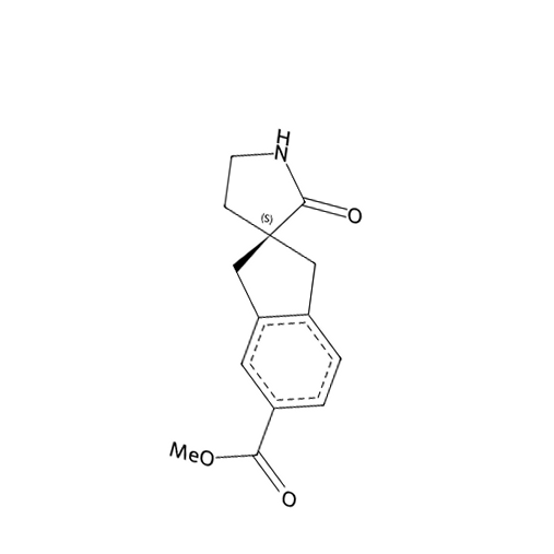 COC(=O)c1ccc2c(c1)C[C@]1(CCNC1=O)C2